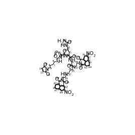 CC(C)[C@H](NC(=O)CCCCCN1C(=O)C=CC1=O)C(=O)N[C@@H](CCCNC(N)=O)C(=O)NCC(=O)N(CCCNCCN1C(=O)c2cccc3cc([N+](=O)[O-])cc(c23)C1=O)CCN1C(=O)c2cccc3cc([N+](=O)[O-])cc(c23)C1=O